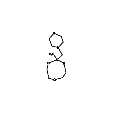 C[Si]1(CN2CCOCC2)OCCOCCO1